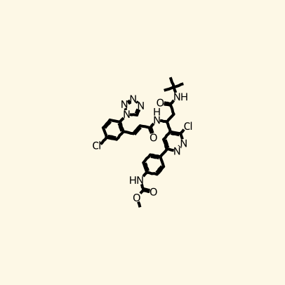 COC(=O)Nc1ccc(-c2cc(C(CC(=O)NC(C)(C)C)NC(=O)C=Cc3cc(Cl)ccc3-n3cnnn3)c(Cl)nn2)cc1